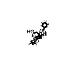 CC(C)(C)[Si](C)(C)OC1C=C(C#N)C2(NOCc3ccccc3)C[C@H](O)O[C@H]1C2O